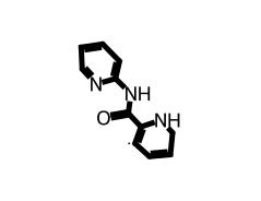 O=C(Nc1ccccn1)C1=[C]C=CCN1